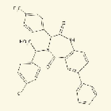 O=C(O)C(c1ccc(Cl)cc1)N1C(=O)c2cc(-c3ccccc3)ccc2NC(=O)C1c1ccc(C(F)(F)F)cc1